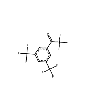 CC(C)(C)C(=O)c1cc(C(F)(F)F)cc(C(F)(F)F)c1